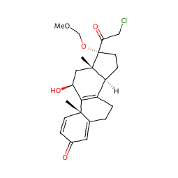 COCO[C@]1(C(=O)CCl)CC[C@H]2C3=C([C@@H](O)C[C@@]21C)[C@@]1(C)C=CC(=O)C=C1CC3